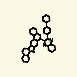 c1ccc(-c2ccc(-c3nc4ccccc4nc3-c3cc4ccccc4c4cc5c(cc34)sc3c4ccccc4ccc53)cc2)cc1